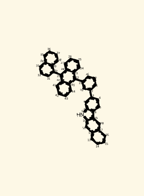 c1cc(-c2ccc3c(c2)[nH]c2cc4ccccc4cc23)cc(-c2c3ccccc3c(-c3cccc4ccccc34)c3ccccc23)c1